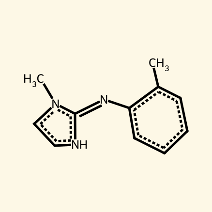 Cc1ccccc1/N=c1\[nH]ccn1C